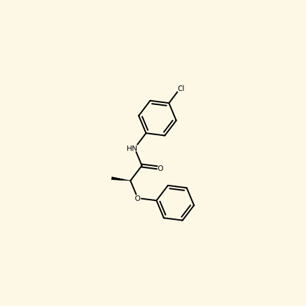 C[C@H](Oc1ccccc1)C(=O)Nc1ccc(Cl)cc1